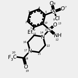 CCc1cccc(S(=O)(=O)Cl)c1S(=N)(=O)N1CCN(C(=O)C(F)(F)F)CC1